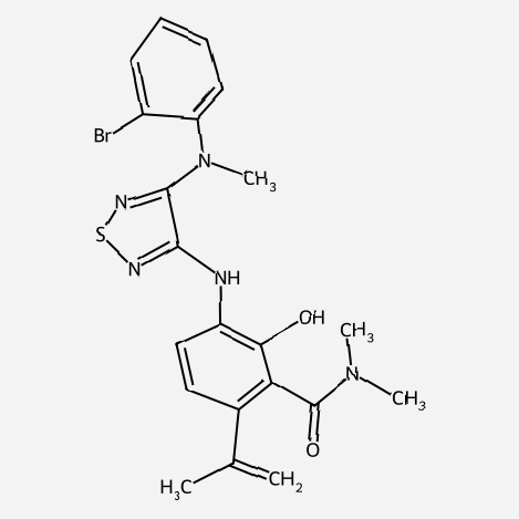 C=C(C)c1ccc(Nc2nsnc2N(C)c2ccccc2Br)c(O)c1C(=O)N(C)C